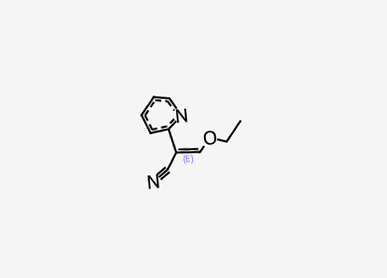 CCO/C=C(/C#N)c1ccccn1